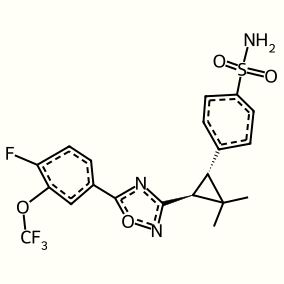 CC1(C)[C@@H](c2ccc(S(N)(=O)=O)cc2)[C@@H]1c1noc(-c2ccc(F)c(OC(F)(F)F)c2)n1